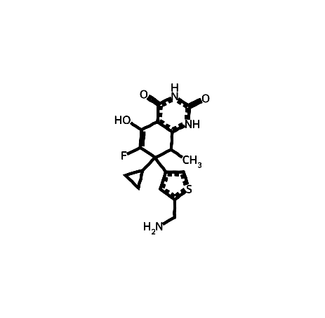 CC1c2[nH]c(=O)[nH]c(=O)c2C(O)=C(F)C1(c1csc(CN)c1)C1CC1